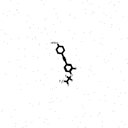 CCCCCCC1CCC(C#Cc2ccc(OC(F)(F)C(F)C(F)(F)F)c(F)c2)CC1